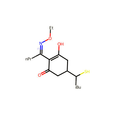 CCC/C(=N/OCC)C1=C(O)CC(C(S)C(C)CC)CC1=O